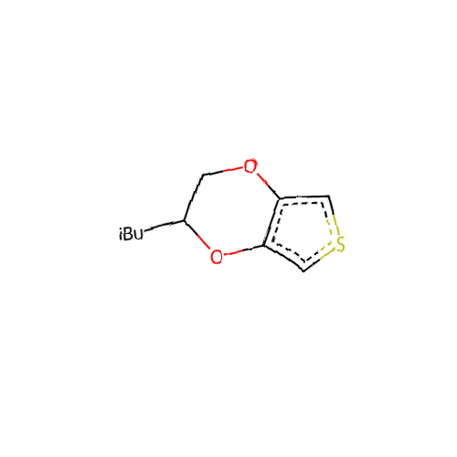 CCC(C)C1COc2cscc2O1